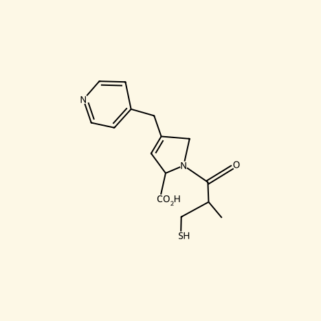 CC(CS)C(=O)N1CC(Cc2ccncc2)=CC1C(=O)O